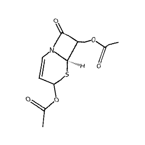 CC(=O)OC1C=CN2C(=O)C(OC(C)=O)[C@H]2S1